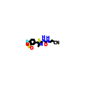 Cc1nc(NC(=O)NCCC#N)sc1-c1ccc(F)c(S(C)(=O)=O)c1